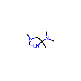 CN(C)CC(C)(N)N(C)C